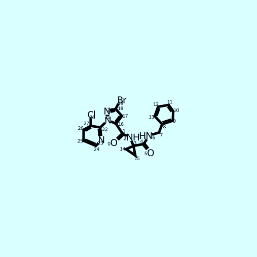 O=C(NC1(C(=O)NCc2ccccc2)CC1)c1cc(Br)nn1-c1ncccc1Cl